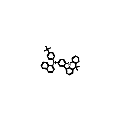 CC(C)(C)c1ccc(N(c2ccc3c(c2)c2cccc4c2n3C2=C(CCC=C2)C4(C)C)c2cccc3ccccc23)cc1